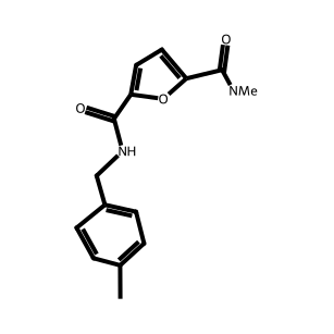 CNC(=O)c1ccc(C(=O)NCc2ccc(C)cc2)o1